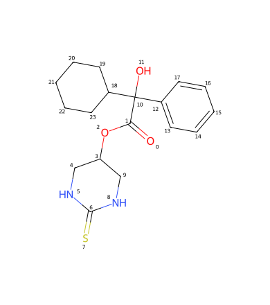 O=C(OC1CNC(=S)NC1)C(O)(c1ccccc1)C1CCCCC1